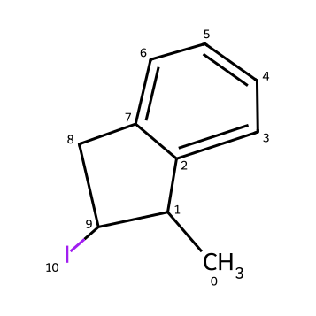 CC1c2ccccc2CC1I